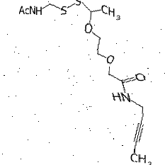 CC#CCNC(=O)COCCOC(C)SSCNC(C)=O